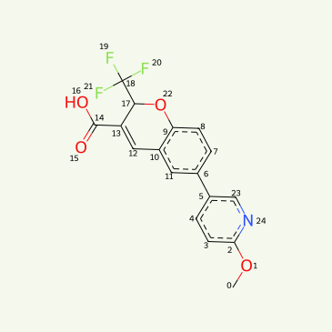 COc1ccc(-c2ccc3c(c2)C=C(C(=O)O)C(C(F)(F)F)O3)cn1